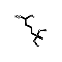 NC(CCCP(=O)(OBr)OBr)C(=O)O